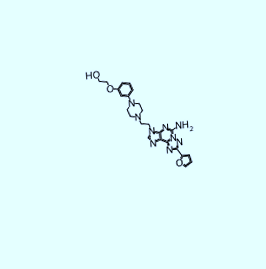 Nc1nc2c(ncn2CCN2CCN(c3cccc(OCCO)c3)CC2)c2nc(-c3ccco3)nn12